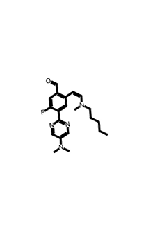 CCCCCN(C)/C=C\c1cc(-c2ncc(N(C)C)cn2)c(F)cc1C=O